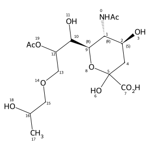 CC(=O)N[C@@H]1[C@@H](O)CC(O)(C(=O)O)O[C@H]1C(O)C(COCC(C)O)OC(C)=O